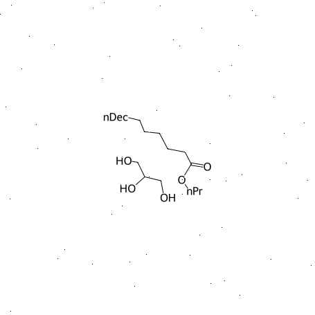 CCCCCCCCCCCCCCCC(=O)OCCC.OCC(O)CO